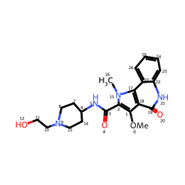 COc1c(C(=O)NC2CCN(CCO)CC2)n(C)c2c1c(=O)[nH]c1ccccc12